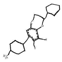 CC1CCC(c2cc3c(c(F)c2F)OC(C2CCCCC2)CC3)CC1